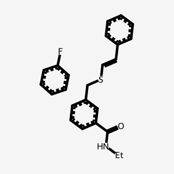 CCNC(=O)c1cccc(CSC=Cc2ccccc2)c1.Fc1ccccc1